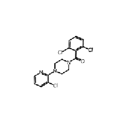 O=C(c1c(Cl)cccc1Cl)N1CCN(c2ncccc2Cl)CC1